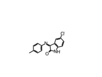 Cc1ccc(N=C2C(=O)Nc3ccc(Cl)cc32)cc1